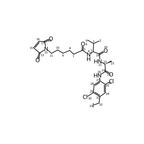 CC(C)[C@H](NC(=O)CCCCCN1C(=O)C=CC1=O)C(=O)N[C@@H](C)C(=O)Nc1cc(Cl)c(CI)cc1Cl